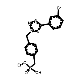 CCOP(=O)(O)Cc1ccc(Cn2nnc(-c3cccc(Br)c3)n2)cc1